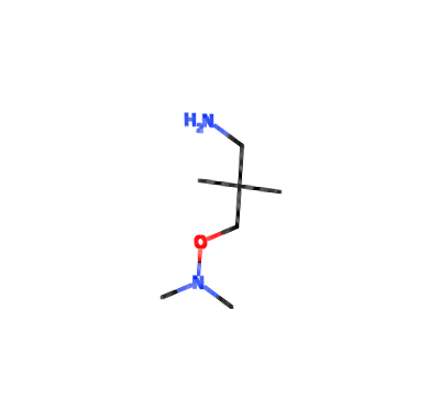 CN(C)OCC(C)(C)CN